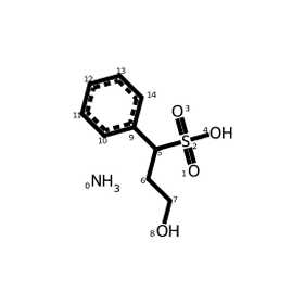 N.O=S(=O)(O)C(CCO)c1ccccc1